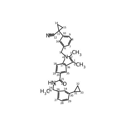 Cc1c(C)n(Cc2cccc(C3(C#N)CC3)c2)c2ccc(C(=O)N[C@@H](C)c3cccc(C4CC4)c3)cc12